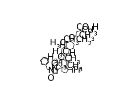 C=C(CC(C)(C)C(=O)O)OC1CC[C@]2(C)[C@H]3CC[C@]4(C)C5=C(C(C)C)CC[C@]5(c5cc(=O)n(Cc6ccccc6)n5C)CC[C@@]4(C)[C@]3(C)CC[C@H]2C1(C)C